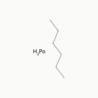 CCCCCC.[PoH2]